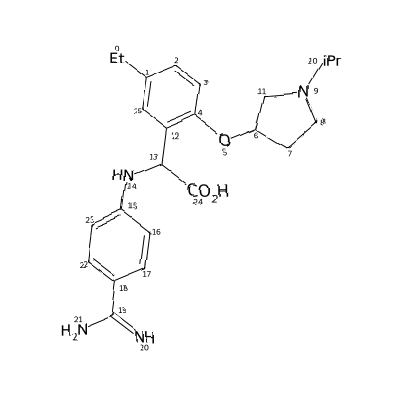 CCc1ccc(OC2CCN(C(C)C)C2)c(C(Nc2ccc(C(=N)N)cc2)C(=O)O)c1